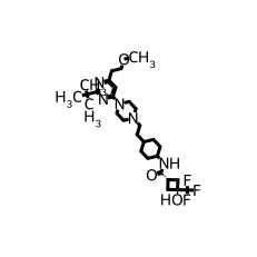 COCCc1cc(N2CCN(CCC3CCC(NC(=O)[C@H]4C[C@](O)(C(F)(F)F)C4)CC3)CC2)nc(C(C)(C)C)n1